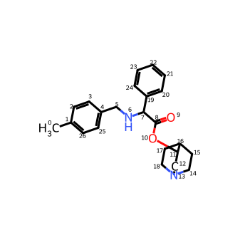 Cc1ccc(CNC(C(=O)OC2CN3CCC2CC3)c2ccccc2)cc1